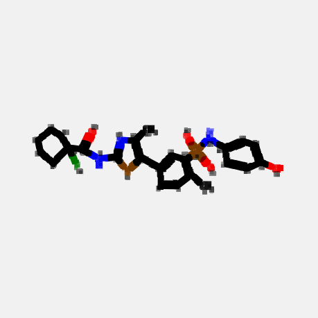 Cc1ccc(-c2sc(NC(=O)C3(F)CCCCC3)nc2C)cc1S(=O)(=O)Nc1ccc(O)cc1